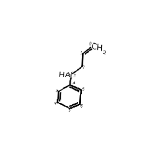 C=C[CH2][AlH][c]1ccccc1